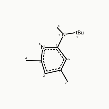 Cc1cc(C)nc(N(C)C(C)(C)C)c1